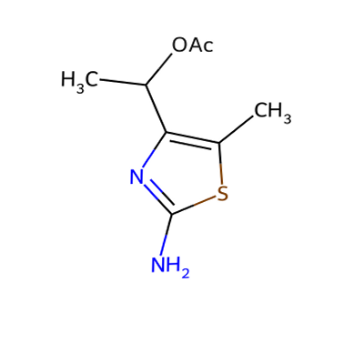 CC(=O)OC(C)c1nc(N)sc1C